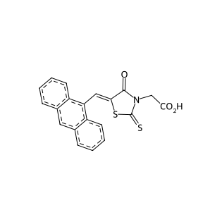 O=C(O)CN1C(=O)C(=Cc2c3ccccc3cc3ccccc23)SC1=S